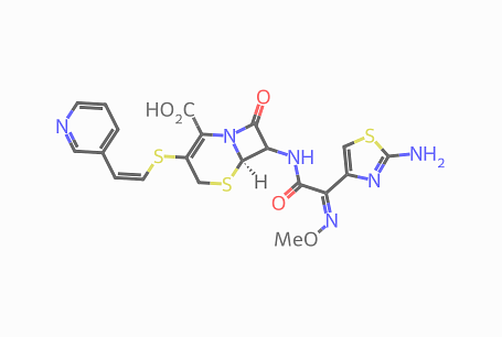 CO/N=C(\C(=O)NC1C(=O)N2C(C(=O)O)=C(S/C=C\c3cccnc3)CS[C@H]12)c1csc(N)n1